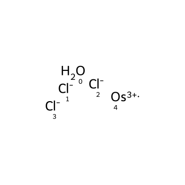 O.[Cl-].[Cl-].[Cl-].[Os+3]